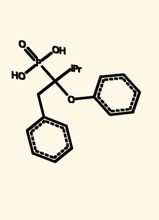 CC(C)C(Cc1ccccc1)(Oc1ccccc1)P(=O)(O)O